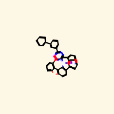 c1ccc(-c2cccc(-c3nc(-c4cccnc4)nc(-c4cccc5oc6ccc7c8ccccc8n(-c8ccccc8)c7c6c45)n3)c2)cc1